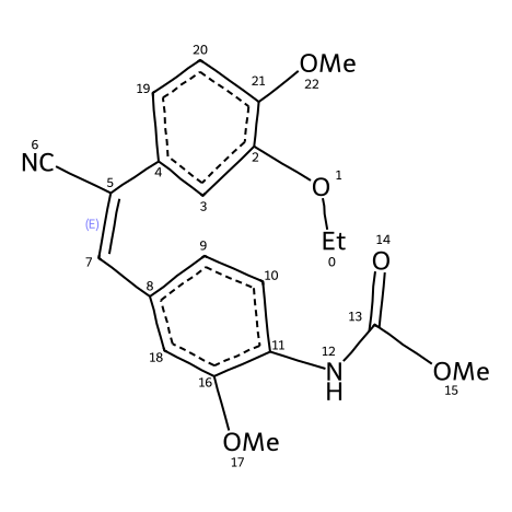 CCOc1cc(/C(C#N)=C\c2ccc(NC(=O)OC)c(OC)c2)ccc1OC